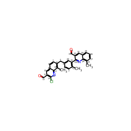 Cc1ccc(Cc2ccc3cc(C=O)c(Cl)nc3c2C)cc1-c1nc2c(C)cccc2cc1C=O